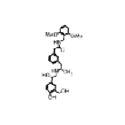 COc1cccc(OC)c1CNC(=O)Cc1cccc(C[C@@H](C)NC[C@H](O)c2ccc(O)c(CO)c2)c1